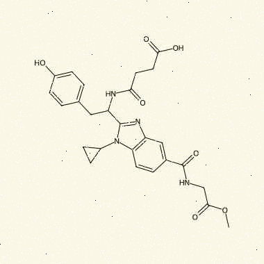 COC(=O)CNC(=O)c1ccc2c(c1)nc(C(Cc1ccc(O)cc1)NC(=O)CCC(=O)O)n2C1CC1